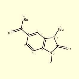 Cn1c(=O)n(C(C)(C)C)c2cc(C(=O)C(C)(C)C)ccc21